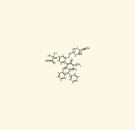 C#C[C@@H]1CO[C@H](CCc2ccccc2N(C(=O)OC)C(=O)[C@@H](N)C(c2ccccc2)c2ccccc2)CN1.O=C(O)C(F)(F)F